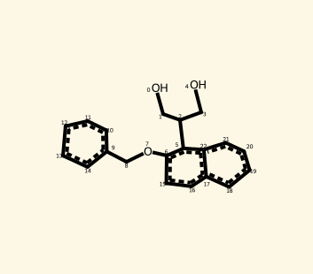 OCC(CO)c1c(OCc2ccccc2)ccc2ccccc12